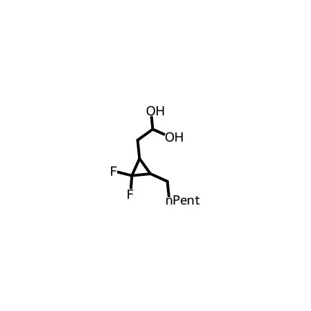 CCCCCCC1C(CC(O)O)C1(F)F